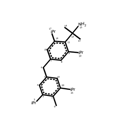 Cc1c(C(C)C)cc(Cc2cc(C(C)C)c(C(C)(C)N)c(C(C)C)c2)cc1C(C)C